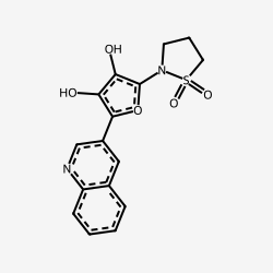 O=S1(=O)CCCN1c1oc(-c2cnc3ccccc3c2)c(O)c1O